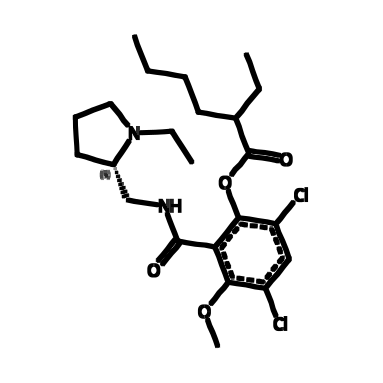 CCCCC(CC)C(=O)Oc1c(Cl)cc(Cl)c(OC)c1C(=O)NC[C@@H]1CCCN1CC